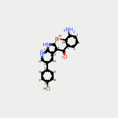 Nc1cccc(C(=O)c2c[nH]c3ncc(-c4ccc(Cl)cc4)cc23)c1Br